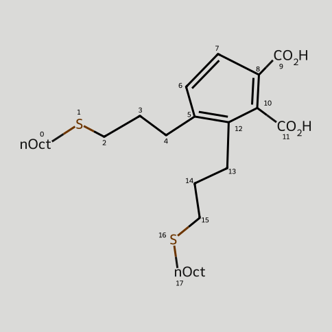 CCCCCCCCSCCCc1ccc(C(=O)O)c(C(=O)O)c1CCCSCCCCCCCC